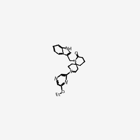 CCOc1cncc(N2CCC3(CCCC(=O)N3Cc3c[nH]c4ccccc34)CC2)n1